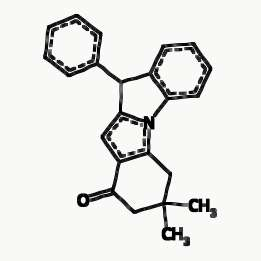 CC1(C)CC(=O)c2cc3n(c2C1)-c1ccccc1C3c1ccccc1